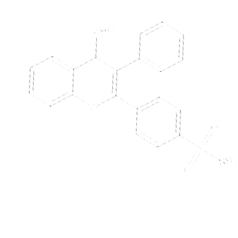 NS(=O)(=O)c1ccc(C2=C(c3ccccc3)C(C=O)c3ccccc3O2)cc1